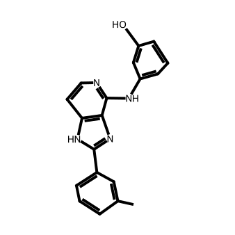 Cc1cccc(-c2nc3c(Nc4cccc(O)c4)nccc3[nH]2)c1